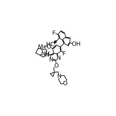 C#Cc1c(F)ccc2cc(O)cc(-c3c(F)c(OC)c4c(N5CC6CCC(C5)N6)nc(OCC5(CN6CCOCC6)CC5)nc4c3F)c12